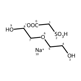 O=C([O-])CS(=O)(=O)O.OCCOCCO.[Na+]